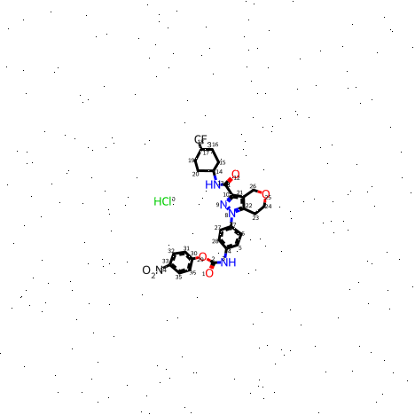 Cl.O=C(Nc1ccc(-n2nc(C(=O)NC3CCC(C(F)(F)F)CC3)c3c2CCOC3)cc1)Oc1ccc([N+](=O)[O-])cc1